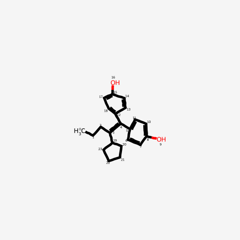 CCCC(=C(c1ccc(O)cc1)c1ccc(O)cc1)C1CCCC1